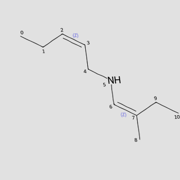 CC/C=C\CN/C=C(/C)CC